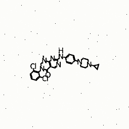 CN1CN(c2c(Cl)cccc2Cl)C(=O)c2cnc(Nc3ccc(N4CCN(C5CC5)CC4)cc3)nc21